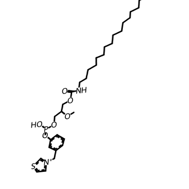 CCCCCCCCCCCCCCCCNC(=O)OCC(COP(O)Oc1cccc(C[n+]2ccsc2)c1)OC